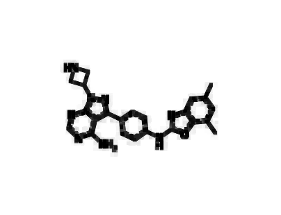 Cc1cc(C)c2oc(Nc3ccc(-c4nn(C5CNC5)c5ncnc(N)c45)cc3)nc2c1